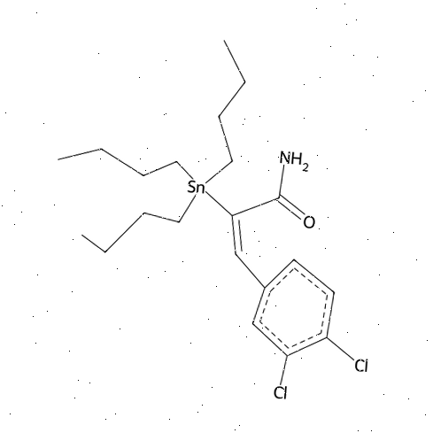 CCC[CH2][Sn]([CH2]CCC)([CH2]CCC)/[C](=C/c1ccc(Cl)c(Cl)c1)C(N)=O